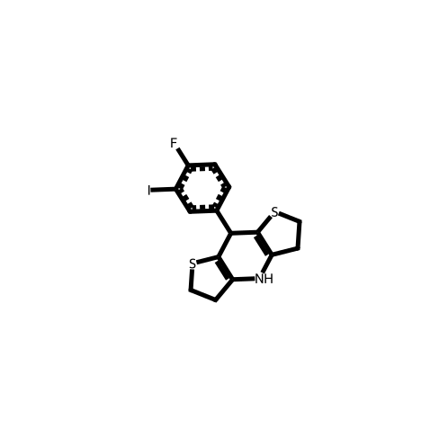 Fc1ccc(C2C3=C(CCS3)NC3=C2SCC3)cc1I